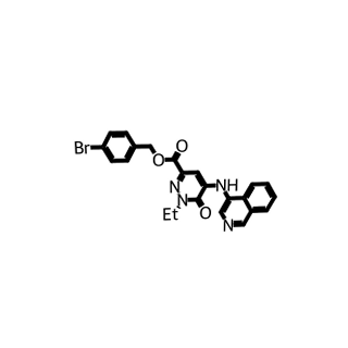 CCn1nc(C(=O)OCc2ccc(Br)cc2)cc(Nc2cncc3ccccc23)c1=O